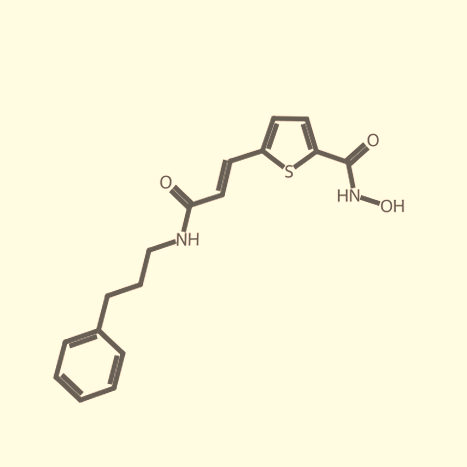 O=C(C=Cc1ccc(C(=O)NO)s1)NCCCc1ccccc1